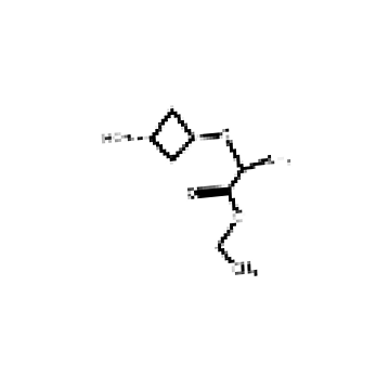 CCOC(=O)C(C)O[C@H]1C[C@H](O)C1